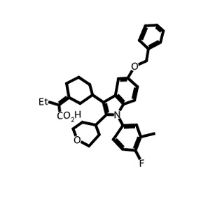 CCC(C(=O)O)=C1CCCC(c2c(C3CCOCC3)n(-c3ccc(F)c(C)c3)c3ccc(OCc4ccccc4)cc23)C1